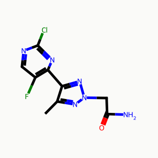 Cc1nn(CC(N)=O)nc1-c1nc(Cl)ncc1F